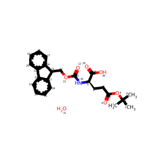 CC(C)(C)OC(=O)CC[C@@H](NC(=O)OCC1c2ccccc2-c2ccccc21)C(=O)O.O